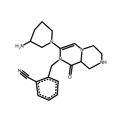 N#Cc1ccccc1CN1C(=O)C2CNCCN2C=C1N1CCCC(N)C1